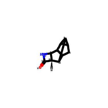 O=C1NC2C3C4CC5C3C5C4[C@@H]12